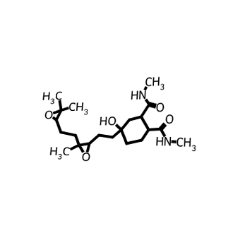 CNC(=O)C1CCC(O)(CCC2OC2(C)CCC2OC2(C)C)CC1C(=O)NC